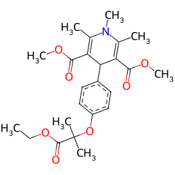 CCOC(=O)C(C)(C)Oc1ccc(C2C(C(=O)OC)=C(C)N(C)C(C)=C2C(=O)OC)cc1